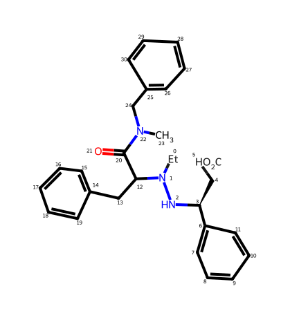 CCN(N[C@@H](CC(=O)O)c1ccccc1)C(Cc1ccccc1)C(=O)N(C)Cc1ccccc1